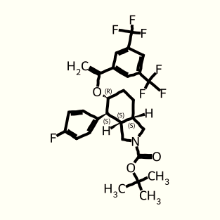 C=C(O[C@@H]1CC[C@@H]2CN(C(=O)OC(C)(C)C)C[C@@H]2[C@H]1c1ccc(F)cc1)c1cc(C(F)(F)F)cc(C(F)(F)F)c1